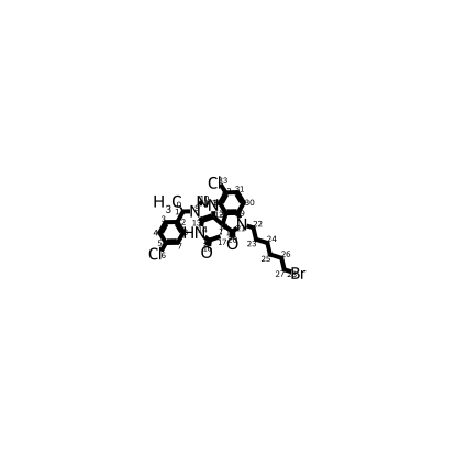 C[C@@H](c1ccc(Cl)cc1)n1nnc2c1NC(=O)C[C@]21C(=O)N(CCCCCCBr)c2ccc(Cl)cc21